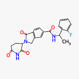 CC(NC(=O)c1ccc2c(c1)CN(C1CCC(=O)NC1=O)C2=O)c1ccccc1F